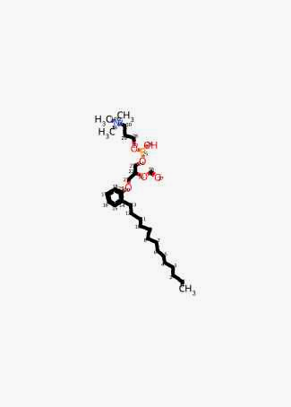 CCCCCCCCCCCCCCc1ccccc1OCC(COP(O)OCCC[N+](C)(C)C)OC=O